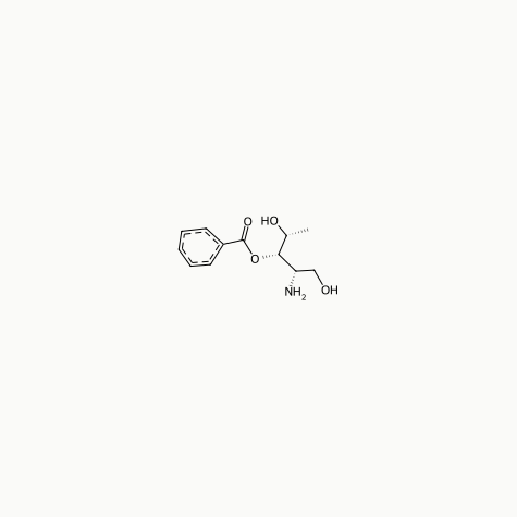 C[C@@H](O)[C@@H](OC(=O)c1ccccc1)[C@@H](N)CO